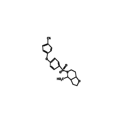 N#Cc1ccc(Oc2ccc(S(=O)(=O)N3CCC4OCCC4C3C(=O)O)cc2)cc1